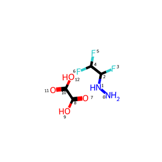 NNC(F)C(F)F.O=C(O)C(=O)O